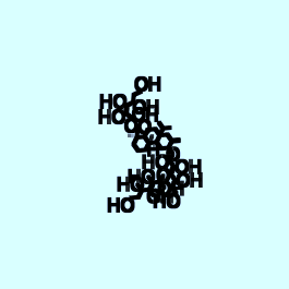 C=C1CC2(C(C)C)CCC3[C@](C)(C(=O)OC(O)/C(O)=C(/O)C(O)CCO)CCC[C@@]3(C)[C@@H]2CC1OC(O)/C(O)=C(\OC(O)/C(O)=C(\O)C(O)CCO)C(O)CCO